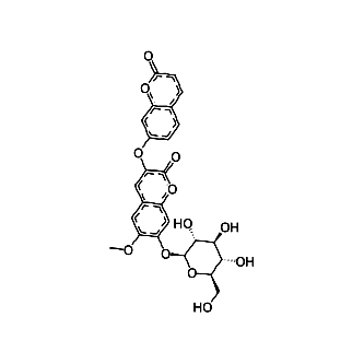 COc1cc2cc(Oc3ccc4ccc(=O)oc4c3)c(=O)oc2cc1O[C@@H]1O[C@H](CO)[C@@H](O)[C@H](O)[C@H]1O